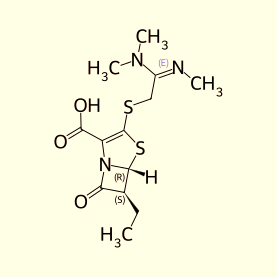 CC[C@H]1C(=O)N2C(C(=O)O)=C(SC/C(=N\C)N(C)C)S[C@H]12